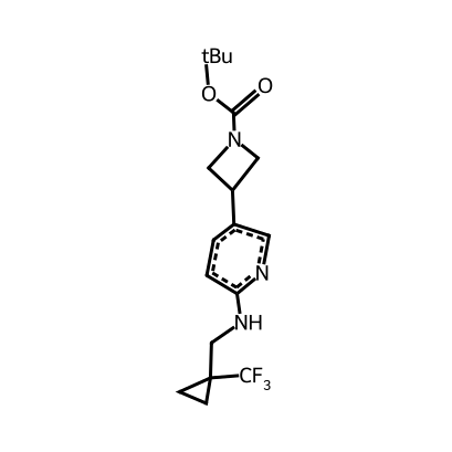 CC(C)(C)OC(=O)N1CC(c2ccc(NCC3(C(F)(F)F)CC3)nc2)C1